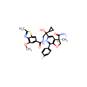 COc1cc(C(=O)NCC(O)(c2cc3c(c(-c4ccc(F)cc4)n2)OC[C@]3(C)C(N)=O)C2CC2)cc2sc(C)nc12